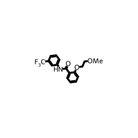 COCCOc1ccccc1C(=O)Nc1cccc(C(F)(F)F)c1